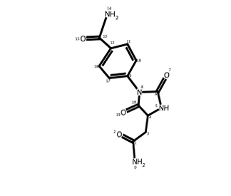 NC(=O)CC1NC(=O)N(c2ccc(C(N)=O)cc2)C1=O